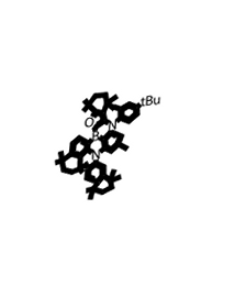 Cc1cc2c3c(c1)N(c1ccc(C(C)(C)C)cc1C)c1c(oc4c1C(C)(C)CCC4(C)C)B3c1ccc3c(c1N2c1ccc2c(c1)C(C)(C)CCC2(C)C)C(C)(C)CCC3(C)C